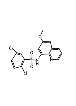 COc1cc(NS(=O)(=O)c2cc(Cl)ccc2Cl)c2ncccc2c1